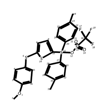 COc1ccc(Sc2ccc(S(OS(=O)(=O)C(F)(F)F)(c3ccc(C)cc3)c3ccc(C)cc3)s2)cc1